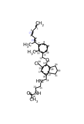 C=C/C=C\C=C(/C)c1cccc(COc2c(Cl)cc(CNCCNC(C)=O)c3c2CCC3)c1C